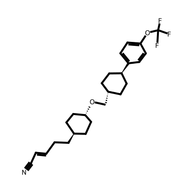 N#CC=CCC[C@H]1CC[C@H](OC[C@H]2CC[C@H](c3ccc(OC(F)(F)F)cc3)CC2)CC1